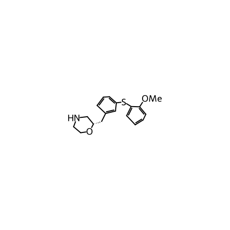 COc1ccccc1Sc1cccc(C[C@H]2CNCCO2)c1